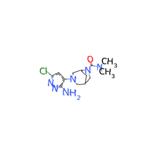 CN(C)C(=O)N1CC2CC1CN(c1cc(Cl)nnc1N)C2